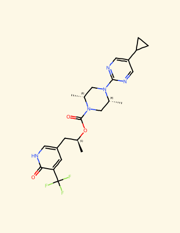 C[C@@H]1CN(c2ncc(C3CC3)cn2)[C@H](C)CN1C(=O)O[C@@H](C)Cc1c[nH]c(=O)c(C(F)(F)F)c1